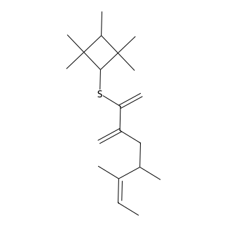 C=C(CC(C)/C(C)=C\C)C(=C)SC1C(C)(C)C(C)C1(C)C